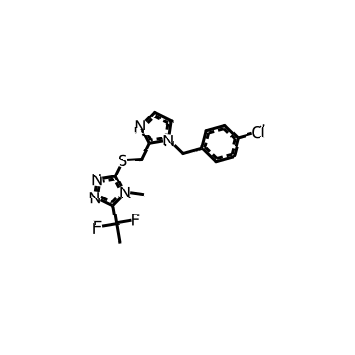 Cn1c(SCc2nccn2Cc2ccc(Cl)cc2)nnc1C(C)(F)F